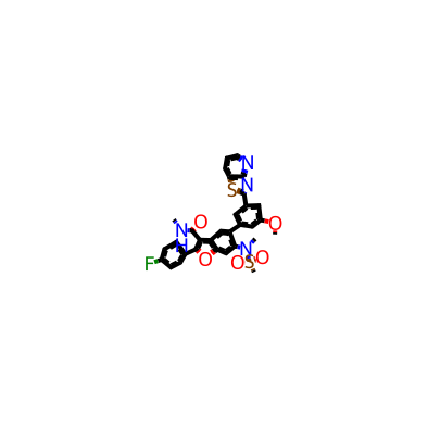 CNC(=O)c1c(-c2ccc(F)cc2)oc2cc(N(C)S(C)(=O)=O)c(-c3cc(OC)cc(-c4nc5ncccc5s4)c3)cc12